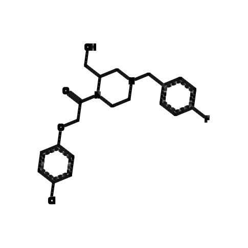 O=C(COc1ccc(Cl)cc1)N1CCN(Cc2ccc(F)cc2)CC1CO